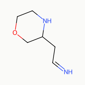 N=CCC1COCCN1